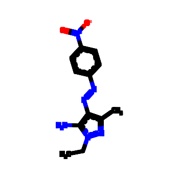 CCn1nc(C)c(N=Nc2ccc([N+](=O)[O-])cc2)c1N